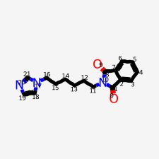 O=C1c2ccccc2C(=O)N1CCCCCCn1ccnc1